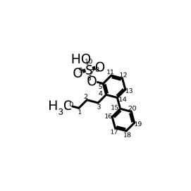 CCCCc1c(OS(=O)(=O)O)cccc1-c1ccccc1